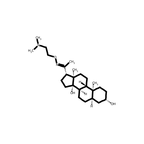 C/C(=N\OCCN(C)C)[C@H]1CC[C@]2(O)[C@@H]3CC[C@@H]4C[C@@H](O)CC[C@]4(C)[C@H]3CC[C@]12C